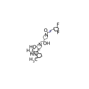 Cc1[nH]c2c(C)cccc2c1[C@@H]1CCN(CC(O)C2CCN(C(=O)/C=C/c3cc(F)cc(F)c3)CC2)CC1O